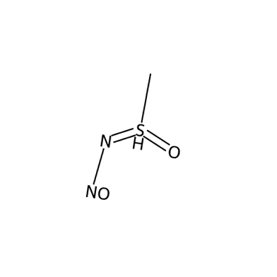 C[SH](=O)=NN=O